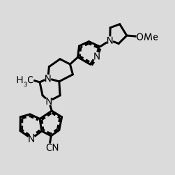 COC1CCN(c2ccc(C3CCN4C(C)CN(c5ccc(C#N)c6ncccc56)CC4C3)cn2)C1